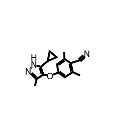 Cc1cc(Oc2c(C)n[nH]c2C2CC2)cc(C)c1C#N